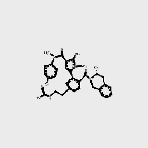 Cc1c(C(=O)N(C)c2ccc(O)cc2)cc(-c2cc(CCNC(=O)O)ccc2C(=O)N2Cc3ccccc3C[C@H]2C)n1C